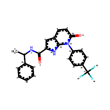 CC(NC(=O)c1cc2ccc(=O)n(-c3ccc(C(F)(F)F)cc3)c2[nH]1)c1ccccc1